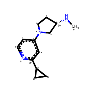 CN[C@H]1CCN(c2ccnc(C3CC3)c2)C1